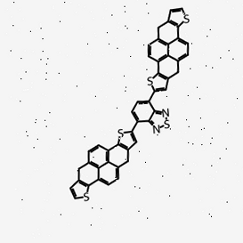 c1cc2c(s1)-c1ccc3c4c(ccc(c14)C2)-c1sc(-c2ccc(-c4cc5c(s4)-c4ccc6c7c(ccc(c47)C5)-c4sccc4C6)c4nsnc24)cc1C3